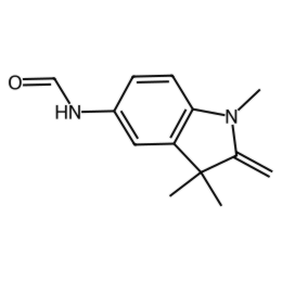 C=C1N(C)c2ccc(NC=O)cc2C1(C)C